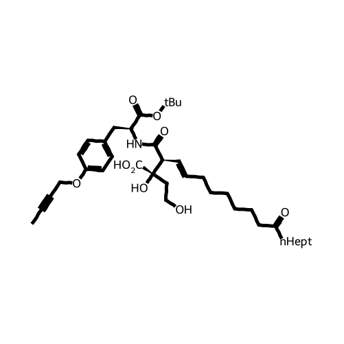 CC#CCOc1ccc(C[C@H](NC(=O)[C@@H](C=CCCCCCCC(=O)CCCCCCC)[C@@](O)(CCO)C(=O)O)C(=O)OC(C)(C)C)cc1